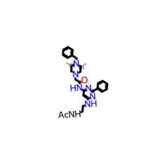 CC(=O)NCCNc1cc(NC(=O)CN2C[C@@H](C)N(Cc3ccccc3)[C@@H](C)C2)nc(-c2ccccc2)n1